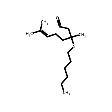 CCCCCCSC(C)(CC=O)CCC=C(C)C